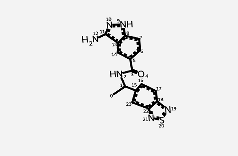 CC(NC(=O)c1ccc2[nH]nc(N)c2c1)c1ccc2nsnc2c1